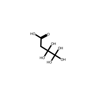 O=C(O)CC(O)(O)C(O)(O)O